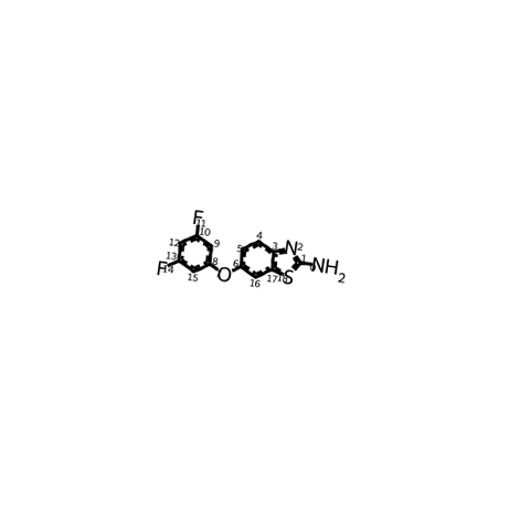 Nc1nc2ccc(Oc3cc(F)cc(F)c3)cc2s1